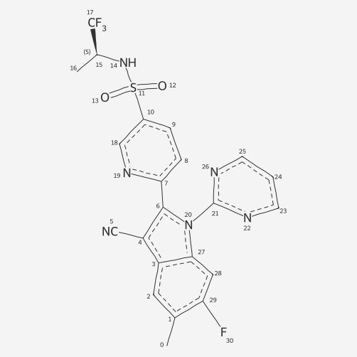 Cc1cc2c(C#N)c(-c3ccc(S(=O)(=O)N[C@@H](C)C(F)(F)F)cn3)n(-c3ncccn3)c2cc1F